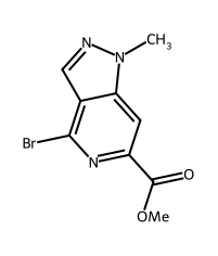 COC(=O)c1cc2c(cnn2C)c(Br)n1